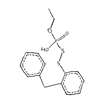 CCOP(=O)(O)SSc1ccccc1Cc1ccccc1